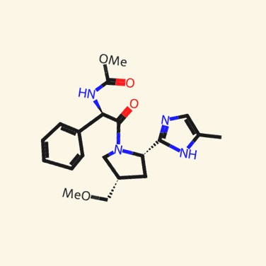 COC[C@H]1C[C@@H](c2ncc(C)[nH]2)N(C(=O)[C@H](NC(=O)OC)c2ccccc2)C1